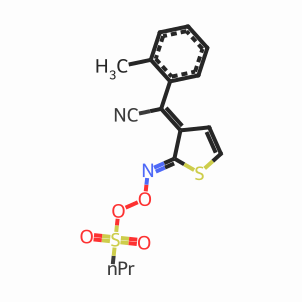 CCCS(=O)(=O)OO/N=C1\SC=C\C1=C(\C#N)c1ccccc1C